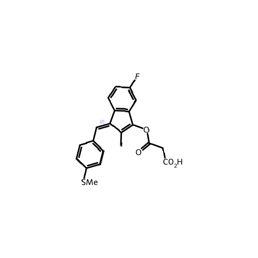 CSc1ccc(/C=C2\C(C)=C(OC(=O)CC(=O)O)c3cc(F)ccc32)cc1